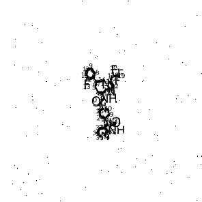 O=C(N[C@@H]1CC[C@@H](c2ccccc2F)Cn2c(CC(F)(F)F)cnc21)N1CCC(n2c(=O)[nH]c3ncccc32)CC1